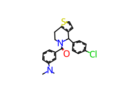 CN(C)c1cccc(C(=O)N2CCc3sccc3C2c2ccc(Cl)cc2)c1